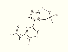 CC(=O)NC1=CC(c2cnn3c2CC(C)(C)CC3)=CCN1C